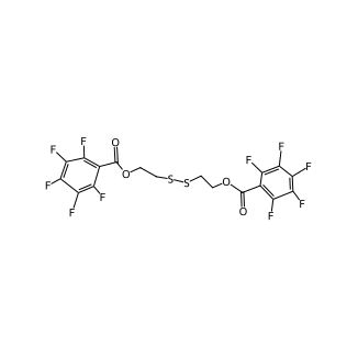 O=C(OCCSSCCOC(=O)c1c(F)c(F)c(F)c(F)c1F)c1c(F)c(F)c(F)c(F)c1F